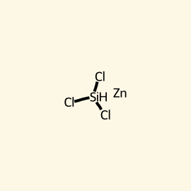 Cl[SiH](Cl)Cl.[Zn]